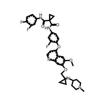 COc1cc2c(Oc3ccc(NC(=O)C4(C(=O)Nc5ccc(F)c(F)c5)CC4)cc3F)ccnc2cc1OCC1(NC2CCN(C)CC2)CC1